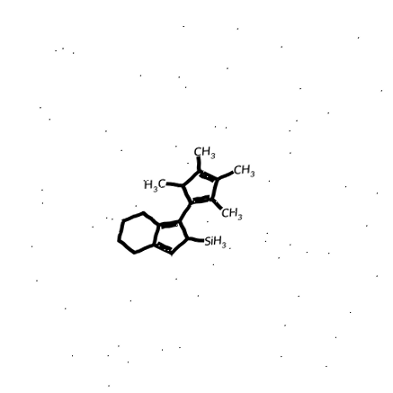 CC1=C(C)C(C)C(C2=C3CCCCC3=[C]C2[SiH3])=C1C